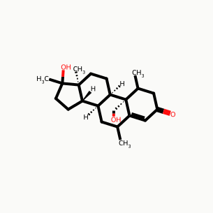 CC1C[C@@H]2[C@@H](CC[C@@]3(C)[C@H]2CCC3(C)O)[C@]2(CO)C1=CC(=O)CC2C